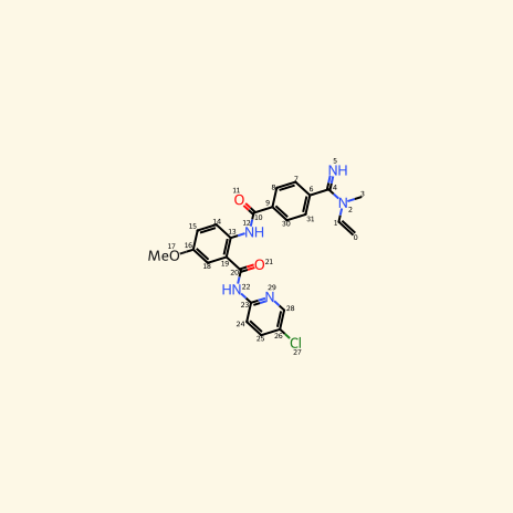 C=CN(C)C(=N)c1ccc(C(=O)Nc2ccc(OC)cc2C(=O)Nc2ccc(Cl)cn2)cc1